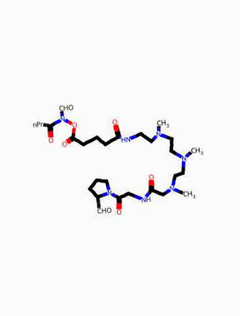 CCCC(=O)N(C=O)OC(=O)CCCC(=O)NCCN(C)CCN(C)CCN(C)CC(=O)NCC(=O)N1CCCC1C=O